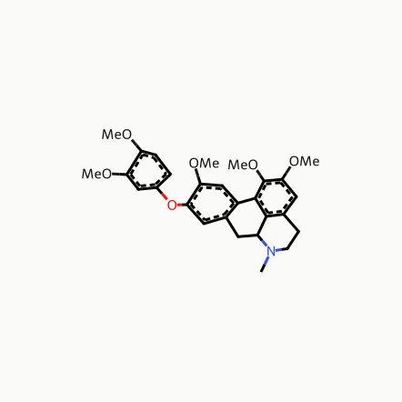 COc1ccc(Oc2cc3c(cc2OC)-c2c(OC)c(OC)cc4c2C(C3)N(C)CC4)cc1OC